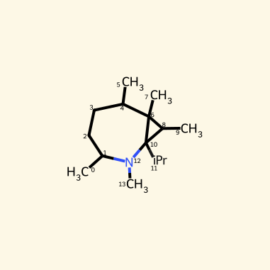 CC1CCC(C)C2(C)C(C)C2(C(C)C)N1C